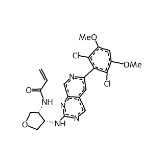 C=CC(=O)N[C@H]1COC[C@H]1Nc1ncc2cc(-c3c(Cl)c(OC)cc(OC)c3Cl)ncc2n1